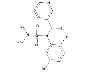 CCCN(CC)S(=O)(=O)N(c1cc(Br)ccc1Br)C(CC)c1cccnc1